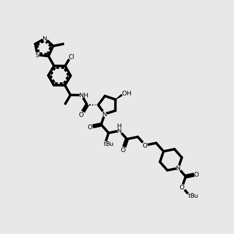 Cc1ncsc1-c1ccc(C(C)NC(=O)[C@@H]2C[C@@H](O)CN2C(=O)C(NC(=O)COCC2CCN(C(=O)OC(C)(C)C)CC2)C(C)(C)C)cc1Cl